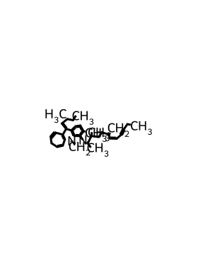 C=Nc1c(/C(=C\C(C)CC)C2=CC=CCC#C2)ccc(C)c1/N=C(/C)C(C)CCC(=C)/C=C\C#CCC